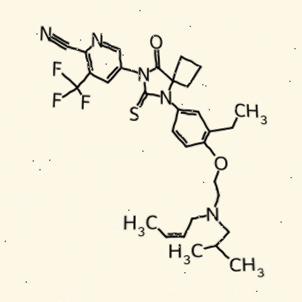 C/C=C\CN(CCOc1ccc(N2C(=S)N(c3cnc(C#N)c(C(F)(F)F)c3)C(=O)C23CCC3)cc1CC)CC(C)C